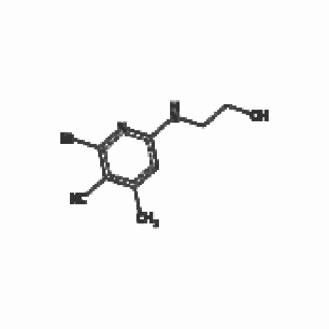 CCc1nc(NCCO)cc(C)c1C#N